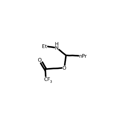 CCCC(NCC)OC(=O)C(F)(F)F